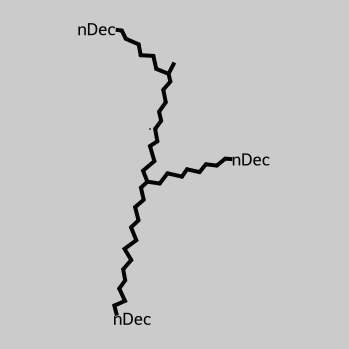 CCCCCCCCCCCCCCCCCCCCCCCC(CCCC[CH]CCCCCC(C)CCCCCCCCCCCCCCCC)CCCCCCCCCCCCCCCCCC